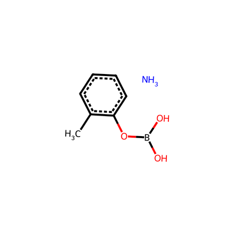 Cc1ccccc1OB(O)O.N